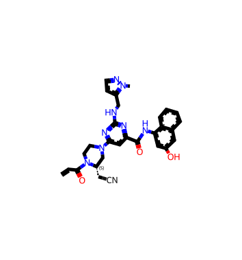 C=CC(=O)N1CCN(c2cc(C(=O)Nc3cc(O)cc4ccccc34)nc(NCc3ccnn3C)n2)C[C@@H]1CC#N